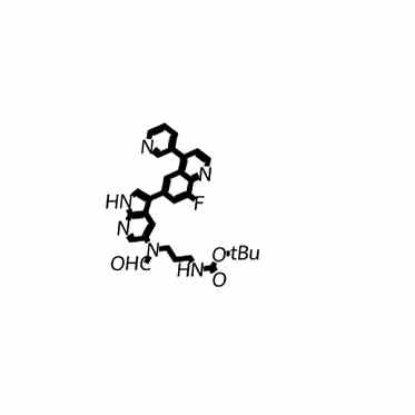 CC(C)(C)OC(=O)NCCCN(C=O)c1cnc2[nH]cc(-c3cc(F)c4nccc(-c5cccnc5)c4c3)c2c1